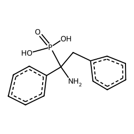 NC(Cc1ccccc1)(c1ccccc1)P(=O)(O)O